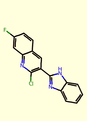 Fc1ccc2cc(-c3nc4ccccc4[nH]3)c(Cl)nc2c1